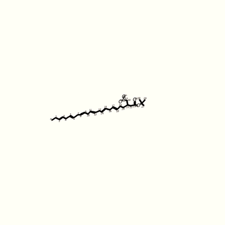 CCC=CCC=CCC=CCC=CCC=CCC=CCCC(CC(=O)OC(C)(C)C)C[N+](=O)[O-]